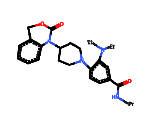 CCN(CC)c1cc(C(=O)NC(C)C)ccc1N1CCC(N2C(=O)OCc3ccccc32)CC1